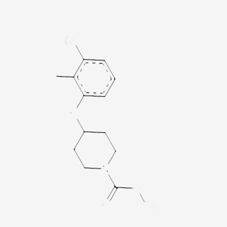 CC(C)(C)OC(=O)N1CCC(Oc2cccc(Br)c2F)CC1